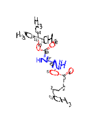 CCCC(=O)ONNC(=O)OC(C)(C)C